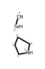 C1CCNC1.N#C[SeH]